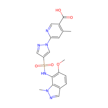 COc1ccc2cnn(C)c2c1NS(=O)(=O)c1cnn(-c2cc(C)c(C(=O)O)cn2)c1